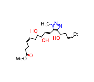 CC/C=C\C[C@H](O)c1nnn(C)c1/C=C/[C@@H](O)[C@@H](O)C/C=C\CCC(=O)OC